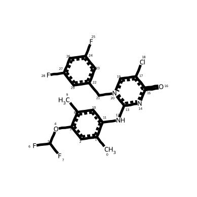 Cc1cc(OC(F)F)c(C)cc1Nc1nc(=O)c(Cl)cn1Cc1cc(F)cc(F)c1